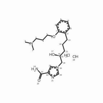 CN(C)CCCOc1ccccc1CCC[C@H](O)Cn1cnc(C(N)=O)c1.Cl.Cl